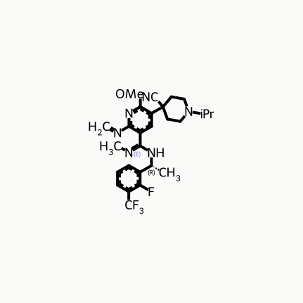 C=Nc1nc(OC)c(C2(C#N)CCN(C(C)C)CC2)cc1/C(=N\C)N[C@H](C)c1cccc(C(F)(F)F)c1F